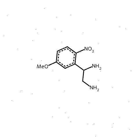 COc1ccc([N+](=O)[O-])c(C(N)CN)c1